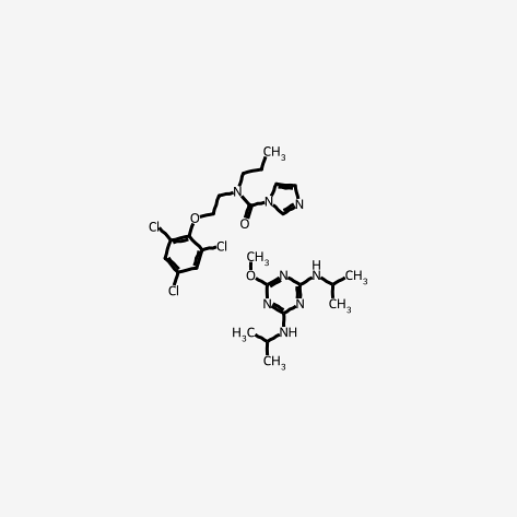 CCCN(CCOc1c(Cl)cc(Cl)cc1Cl)C(=O)n1ccnc1.COc1nc(NC(C)C)nc(NC(C)C)n1